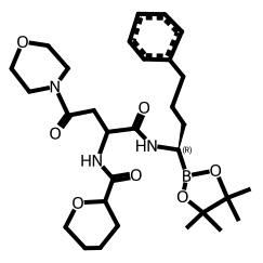 CC1(C)OB([C@H](CCCc2ccccc2)NC(=O)C(CC(=O)N2CCOCC2)NC(=O)C2CCCCO2)OC1(C)C